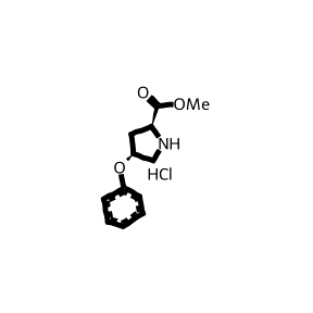 COC(=O)[C@@H]1C[C@@H](Oc2ccccc2)CN1.Cl